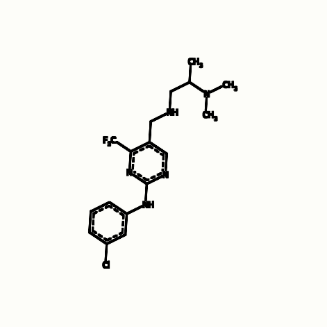 CC(CNCc1cnc(Nc2cccc(Cl)c2)nc1C(F)(F)F)N(C)C